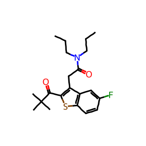 CCCN(CCC)C(=O)Cc1c(C(=O)C(C)(C)C)sc2ccc(F)cc12